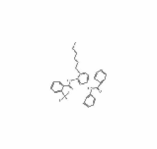 CCCCCCc1ccccc1NC(=O)c1ccccc1C(F)(F)F.O=C(Nc1ccccc1)c1ccccc1